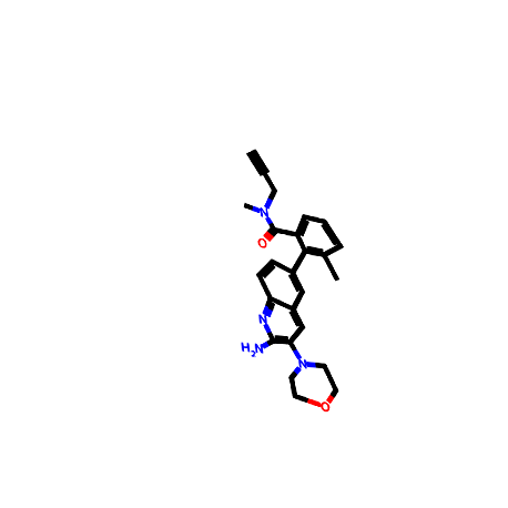 C#CCN(C)C(=O)c1cccc(C)c1-c1ccc2nc(N)c(N3CCOCC3)cc2c1